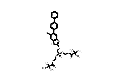 CC(C)(C)C(=O)OCOP(=O)(CSc1nc2cc(-c3ccc(-c4ccccc4)cc3)c(Cl)cc2[nH]1)OCOC(=O)C(C)(C)C